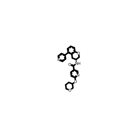 O=C(N[C@@H]1COc2cccc(-c3ccncc3)c2C1)c1ccc(OC2CCCOC2)nc1